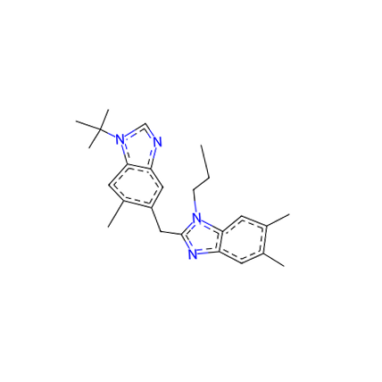 CCCn1c(Cc2cc3ncn(C(C)(C)C)c3cc2C)nc2cc(C)c(C)cc21